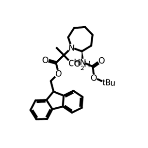 CC(C)(C)OC(=O)N[C@@H]1CCCCCN1C(C)(C(=O)O)C(=O)OCC1c2ccccc2-c2ccccc21